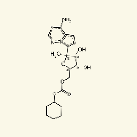 C[C@@]1(c2ccc3c(N)ncnn23)O[C@H](COC(=O)OC2CCCCC2)[C@@H](O)[C@H]1O